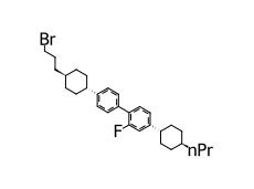 CCC[C@H]1CC[C@H](c2ccc(-c3ccc([C@H]4CC[C@H](CCCBr)CC4)cc3)c(F)c2)CC1